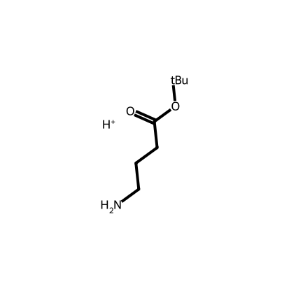 CC(C)(C)OC(=O)CCCN.[H+]